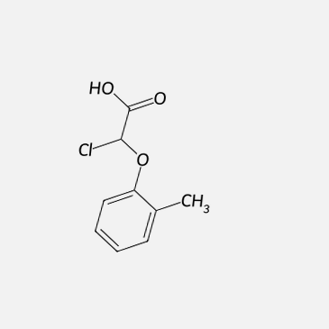 Cc1ccccc1OC(Cl)C(=O)O